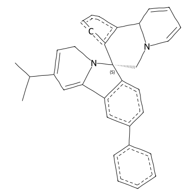 CC(C)C1=CCN2C(=C1)c1cc(-c3ccccc3)ccc1[C@@]21CN2C=CC=CC2c2ccccc21